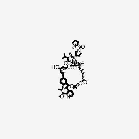 CCn1c(-c2cccnc2[C@H](C)OC)c2c3cc(ccc31)-c1cc(O)cc(c1)C[C@H](NC(=O)C(C(C)C)N(C)C(=O)[C@H]1CCN(C(=O)[C@H]3CCCN3C)C1)C(=O)N(NF)CCCCC(=O)OCC(C)(C)C2